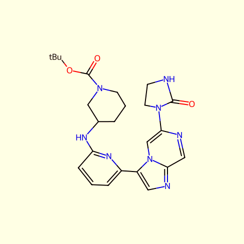 CC(C)(C)OC(=O)N1CCCC(Nc2cccc(-c3cnc4cnc(N5CCNC5=O)cn34)n2)C1